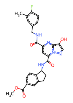 COC(=O)c1ccc2c(c1)CC[C@@H]2NC(=O)c1cc(C(=O)NCc2ccc(F)c(C)c2)nc2c(O)cnn12